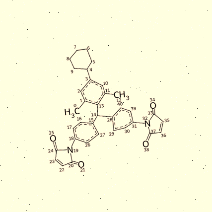 Cc1cc(C2CCCCC2)cc(C)c1C(c1ccc(N2C(=O)C=CC2=O)cc1)c1ccc(N2C(=O)C=CC2=O)cc1